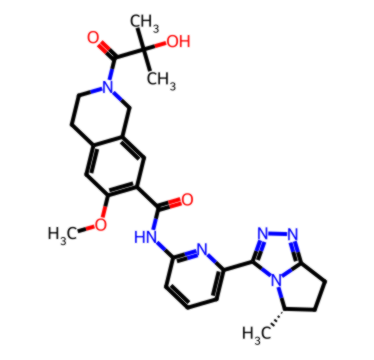 COc1cc2c(cc1C(=O)Nc1cccc(-c3nnc4n3[C@@H](C)CC4)n1)CN(C(=O)C(C)(C)O)CC2